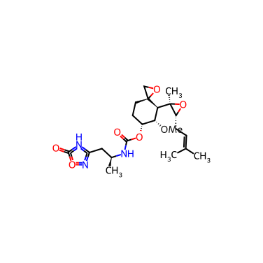 CO[C@@H]1[C@H](OC(=O)N[C@@H](C)Cc2noc(=O)[nH]2)CC[C@]2(CO2)[C@H]1[C@@]1(C)O[C@@H]1CC=C(C)C